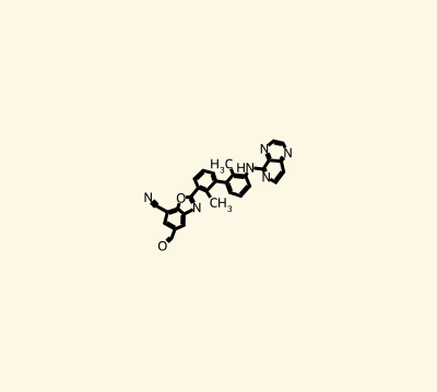 Cc1c(Nc2nccc3nccnc23)cccc1-c1cccc(-c2nc3cc(C=O)cc(C#N)c3o2)c1C